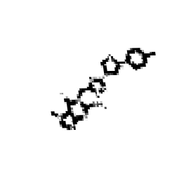 Cc1ccc([C@H]2C[C@H](c3noc(Cn4c(N)nc5ncn(C)c5c4=O)n3)CO2)cc1